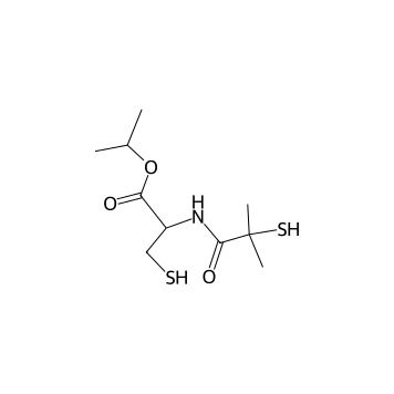 CC(C)OC(=O)C(CS)NC(=O)C(C)(C)S